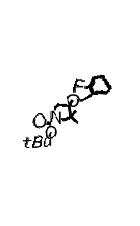 CC(C)(C)OC(=O)N1CCC(OCc2ccccc2F)C(C)(C)C1